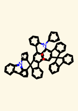 c1ccc(N(c2ccccc2-c2ccc3c(c2)C2(c4ccccc4-3)c3ccccc3-n3c4ccccc4c4cccc2c43)c2cccc3c2-c2ccccc2C32c3ccccc3-c3ccccc32)cc1